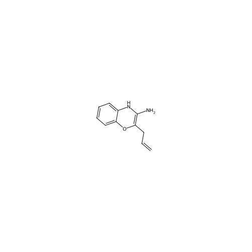 C=CCC1=C(N)Nc2ccccc2O1